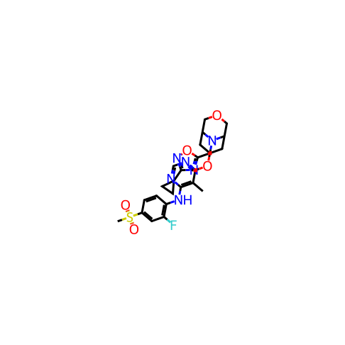 Cc1c(Nc2ccc(S(C)(=O)=O)cc2F)ncnc1OC1CC2COCC(C1)N2Cc1nc(C2CC2)no1